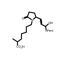 CCCCCC(O)/C=C/C1CCC(=O)N1CCCCCC(C)C(=O)OCC